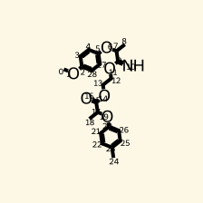 COc1ccc(OC(C)C(=N)OCCOC(=O)C(C)Oc2ccc(C)cc2)cc1